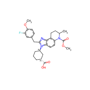 COC(=O)N1c2ccc3c(nc(Cc4ccc(OC)c(F)c4)n3[C@@H]3CCC[C@@H](C(=O)O)C3)c2CCC1C